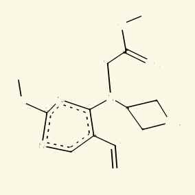 COC(=O)CN(c1nc(SC)ncc1C=O)C1COC1